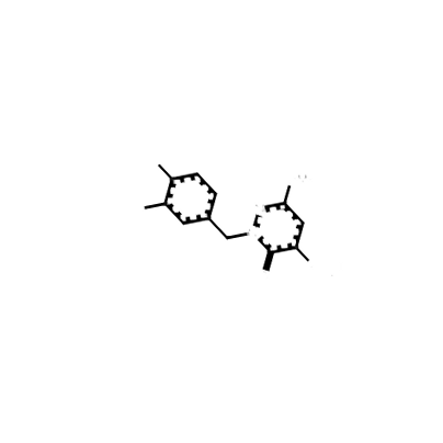 COc1cc(C(=O)O)c(=O)n(Cc2ccc(F)c(F)c2)n1